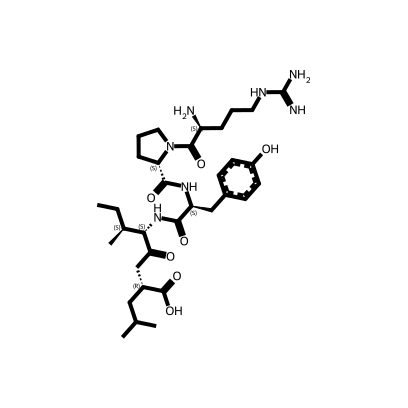 CC[C@H](C)[C@H](NC(=O)[C@H](Cc1ccc(O)cc1)NC(=O)[C@@H]1CCCN1C(=O)[C@@H](N)CCCNC(=N)N)C(=O)C[C@@H](CC(C)C)C(=O)O